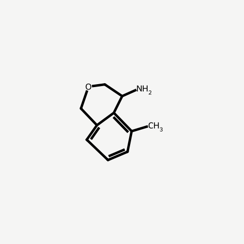 Cc1cccc2c1C(N)COC2